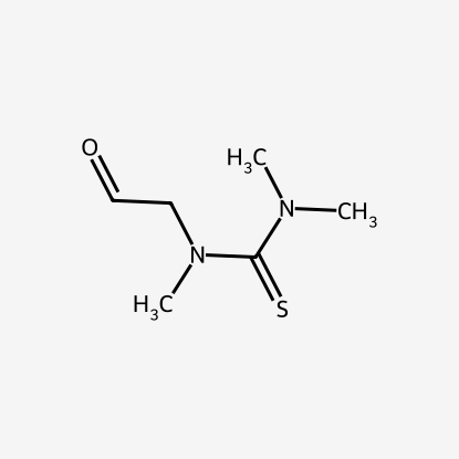 CN(C)C(=S)N(C)CC=O